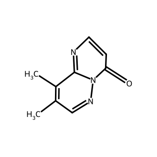 Cc1cnn2c(=O)ccnc2c1C